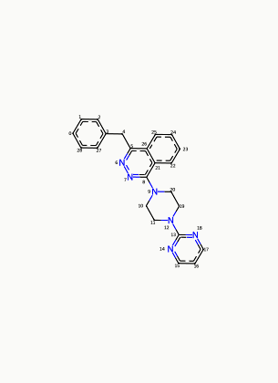 c1ccc(Cc2nnc(N3CCN(c4ncccn4)CC3)c3ccccc23)cc1